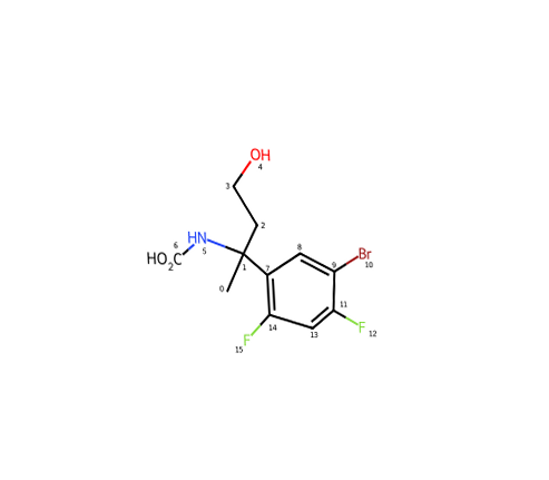 CC(CCO)(NC(=O)O)c1cc(Br)c(F)cc1F